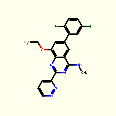 CCOc1cc(-c2cc(F)ccc2F)cc2c(NC)nc(-c3cccnn3)nc12